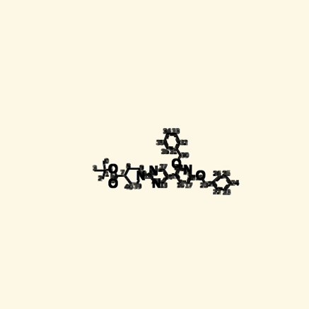 CC(C)(C)OC(=O)C1CCN(c2ncc(-c3ccc(OCc4ccccc4)nc3OCc3ccccc3)cn2)CC1